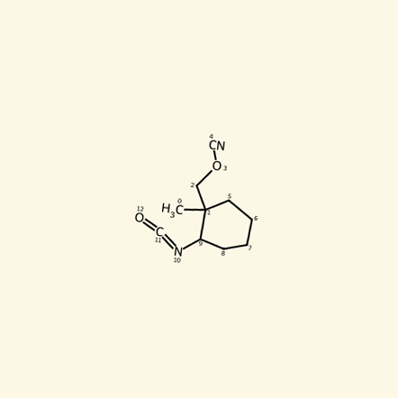 CC1(COC#N)CCCCC1N=C=O